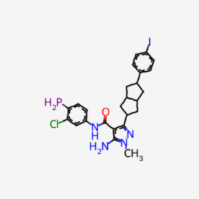 Cn1nc(C2CC3CC(c4ccc(I)cc4)CC3C2)c(C(=O)Nc2ccc(P)c(Cl)c2)c1N